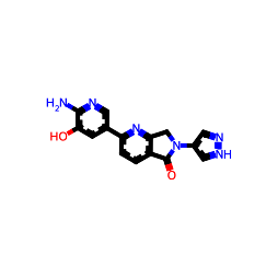 Nc1ncc(-c2ccc3c(n2)CN(c2cn[nH]c2)C3=O)cc1O